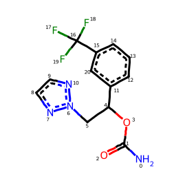 NC(=O)OC(Cn1nccn1)c1cccc(C(F)(F)F)c1